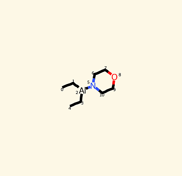 C[CH2][Al]([CH2]C)[N]1CCOCC1